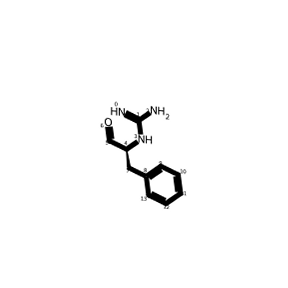 N=C(N)N[C@H]([C]=O)Cc1ccccc1